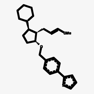 COC=CC[C@H]1[C@H](N2CCCCC2)CC[C@H]1OCc1ccc(-c2cccs2)cc1